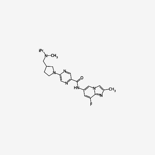 Cc1cn2cc(NC(=O)c3cnc(N4CCC(CN(C)C(C)C)C4)cn3)cc(F)c2n1